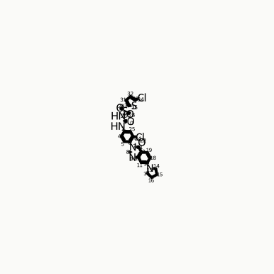 O=C(Nc1ccc(-n2cnc3cc(N4CCCC4)ccc3c2=O)c(Cl)c1)NS(=O)(=O)c1ccc(Cl)s1